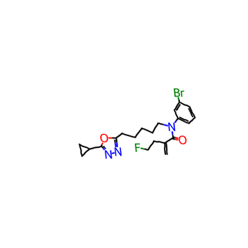 C=C(CCF)C(=O)N(CCCCCc1nnc(C2CC2)o1)c1cccc(Br)c1